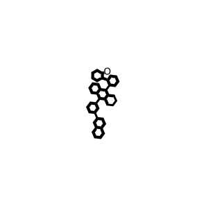 C1=c2c(-c3cccc(-c4ccc5ccccc5c4)c3)c3ccccc3c(-c3cccc4oc5ccccc5c34)c2=CCC1